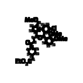 CCOC(=O)CC1CCN(C(=O)CC[C@H]2O[C@H](c3cccc(OC)c3OC)c3cc(Cl)ccc3-n3c(COC)ccc32)CC1